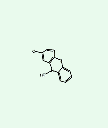 ON1c2ccccc2Sc2ccc(Cl)cc21